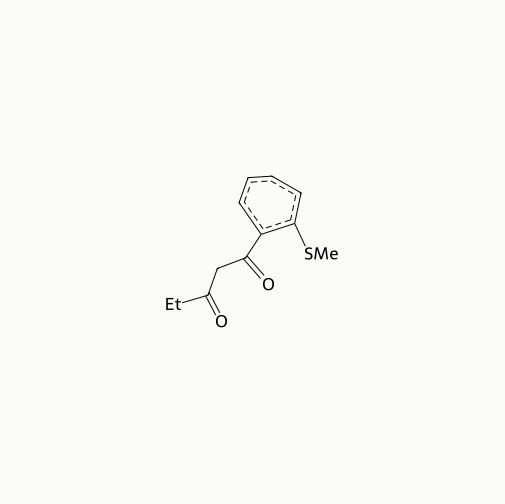 CCC(=O)CC(=O)c1ccccc1SC